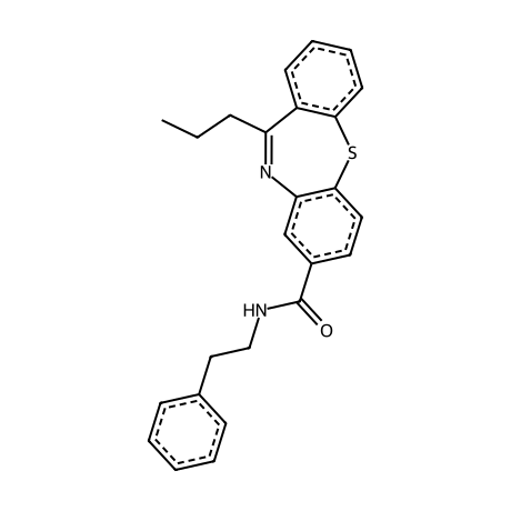 CCCC1=Nc2cc(C(=O)NCCc3ccccc3)ccc2Sc2ccccc21